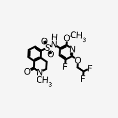 COc1nc(OCC(F)F)c(F)cc1NS(=O)(=O)c1cccc2c1CCN(C)C2=O